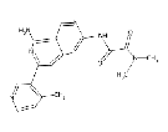 Cc1ccncc1-c1cc2cc(NC(=O)C(=O)N(C)C)ncc2c(N)n1